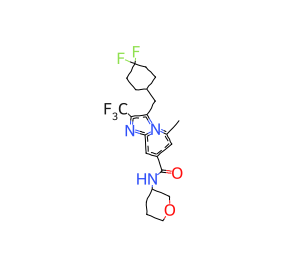 Cc1cc(C(=O)NC2CCCOC2)cc2nc(C(F)(F)F)c(CC3CCC(F)(F)CC3)n12